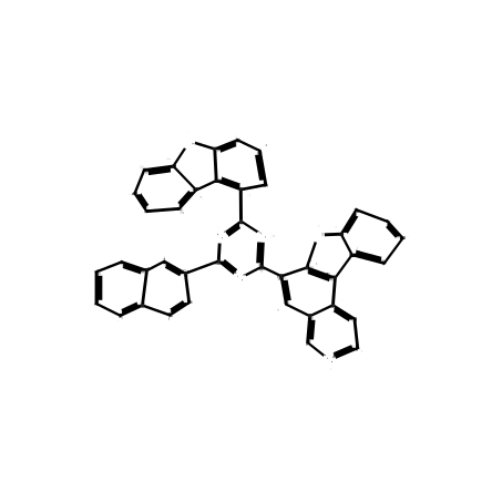 c1ccc2cc(-c3nc(-c4cc5cnccc5c5c4oc4ccccc45)nc(-c4cccc5sc6ccccc6c45)n3)ccc2c1